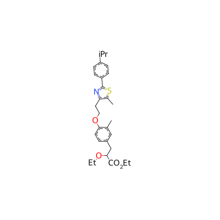 CCOC(=O)C(Cc1ccc(OCCc2nc(-c3ccc(C(C)C)cc3)sc2C)c(C)c1)OCC